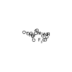 O=C(CC1CN(c2cc(F)c(-c3ccc(OCc4ccccc4)nc3OCc3ccccc3)c3ccoc23)C1)Nc1cc(OC(F)(F)F)ccc1F